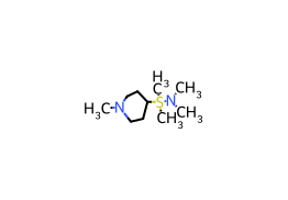 CN1CCC(S(C)(C)N(C)C)CC1